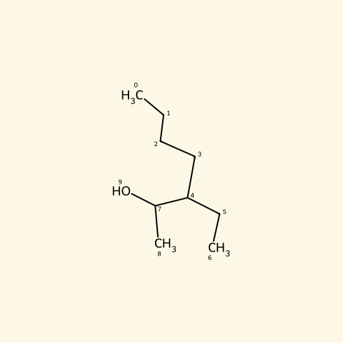 CCCCC(CC)C(C)O